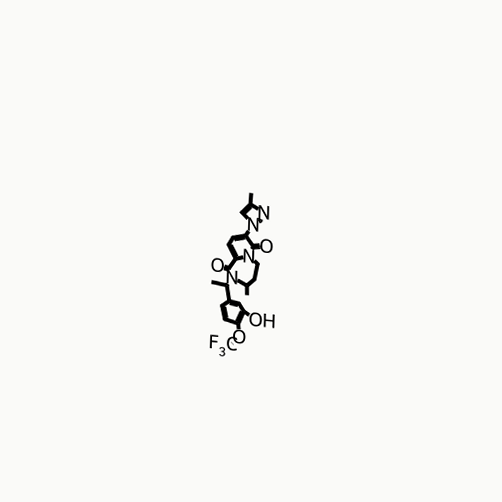 Cc1cn(-c2ccc3n(c2=O)CCC(C)N(C(C)c2ccc(OC(F)(F)F)c(O)c2)C3=O)cn1